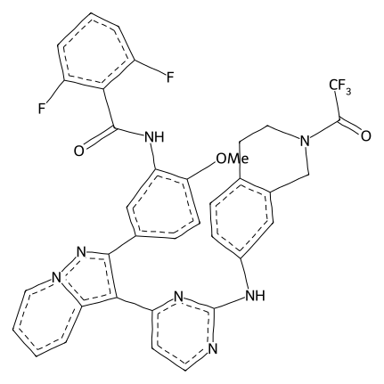 COc1ccc(-c2nn3ccccc3c2-c2ccnc(Nc3ccc4c(c3)CN(C(=O)C(F)(F)F)CC4)n2)cc1NC(=O)c1c(F)cccc1F